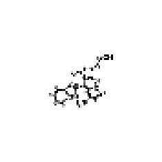 N#Cc1c(NCCO)nc2scc(N)c2c1-c1cc2ccccc2o1